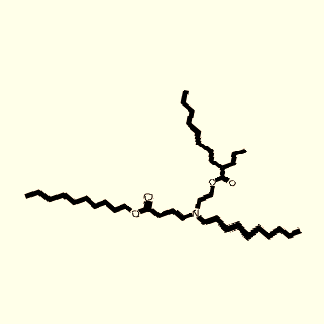 CCCCCCCCCCOC(=O)CCCN(CCCCCCCCCC)CCOC(=O)C(CCC)CCCCCCCC